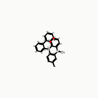 Cc1ccc2c(c1)[S+]([O-])c1ccccc1N2c1ccccc1-c1ccccc1